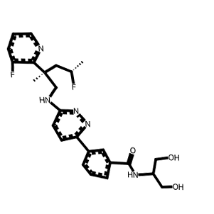 C[C@H](F)C[C@@](C)(CNc1ccc(-c2cccc(C(=O)NC(CO)CO)c2)nn1)c1ncccc1F